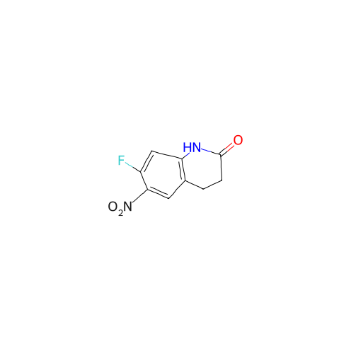 O=C1CCc2cc([N+](=O)[O-])c(F)cc2N1